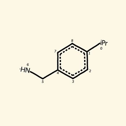 CC(C)c1ccc(C[NH])cc1